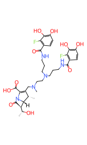 C[C@@H](O)[C@H]1C(=O)N2C(C(=O)O)=C(CN(C)CCN(CCCNC(=O)c3ccc(O)c(O)c3F)CCCNC(=O)c3ccc(O)c(O)c3F)[C@H](C)[C@H]12